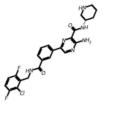 Nc1ncc(-c2cccc(C(=O)NCc3c(F)ccc(F)c3Cl)c2)nc1C(=O)N[C@H]1CCCNC1